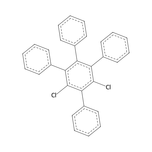 Clc1c(-c2ccccc2)c(Cl)c(-c2ccccc2)c(-c2ccccc2)c1-c1ccccc1